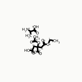 CC(N)C(=O)O.CCOC(=O)CC(CC(=O)O)(OC(C)=O)C(=O)O